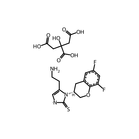 NCCC1=C[N]C(=S)N1[C@H]1COc2c(F)cc(F)cc2C1.O=C(O)CC(O)(CC(=O)O)C(=O)O